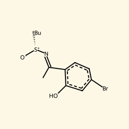 C/C(=N\[S@+]([O-])C(C)(C)C)c1ccc(Br)cc1O